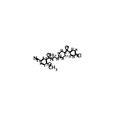 COc1ccc(C#N)cc1C(=O)NCCN1CCC(C(=O)c2ccc(Cl)cc2)CC1